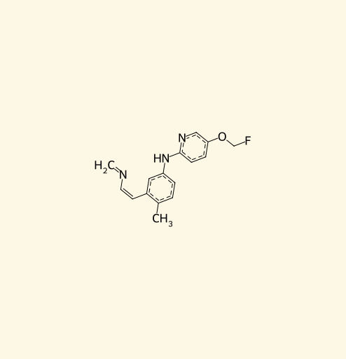 C=N/C=C\c1cc(Nc2ccc(OCF)cn2)ccc1C